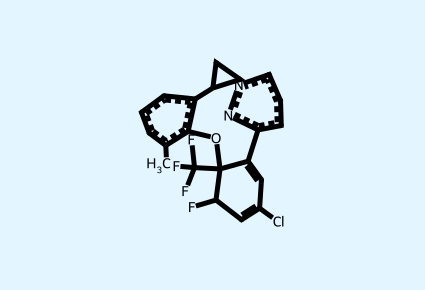 Cc1cccc(C2CC2)c1OC1(C(F)(F)F)C(c2cccnn2)=CC(Cl)=CC1F